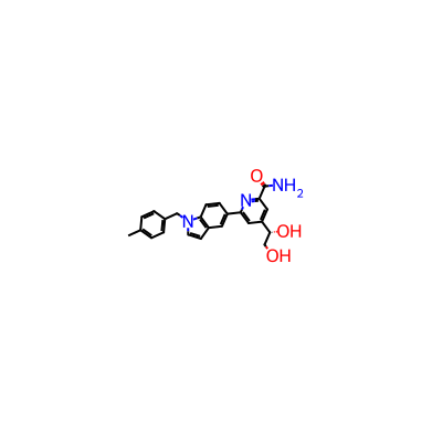 Cc1ccc(Cn2ccc3cc(-c4cc([C@H](O)CO)cc(C(N)=O)n4)ccc32)cc1